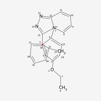 CCOc1ccc([N+]23C=CC=CC2=NN=C3c2ccccc2C)cc1